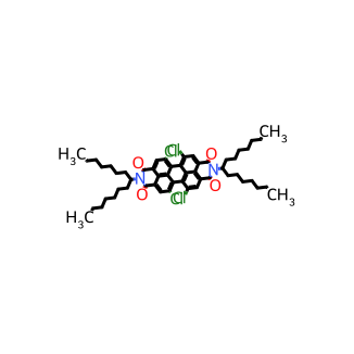 CCCCCCCC(CCCCCCC)N1C(=O)c2cc(Cl)c3c4c(Cl)cc5c6c(cc(Cl)c(c7c(Cl)cc(c2c37)C1=O)c64)C(=O)N(C(CCCCCCC)CCCCCCC)C5=O